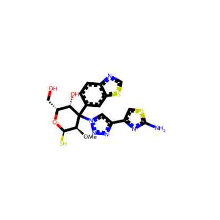 CO[C@H]1[C@@H](S)O[C@H](CO)[C@H](O)C1(c1ccc2ncsc2c1)n1cc(-c2csc(N)n2)nn1